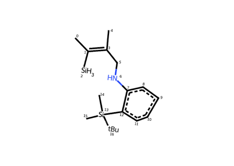 CC([SiH3])=C(C)CNc1ccccc1[Si](C)(C)C(C)(C)C